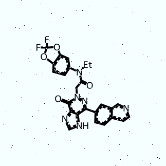 CCN(C(=O)Cn1nc(-c2ccc3ccncc3c2)c2[nH]cnc2c1=O)c1ccc2c(c1)OC(F)(F)O2